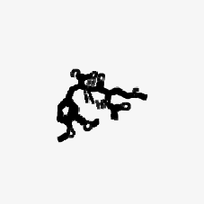 COc1ccc(CC(NC(=O)C(CCSC)NC(C)=O)C(=O)O)cc1OC